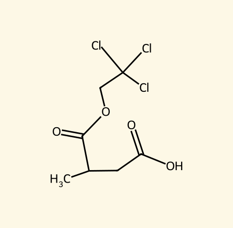 CC(CC(=O)O)C(=O)OCC(Cl)(Cl)Cl